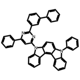 c1ccc(-c2cccc(-c3nc(-c4ccccc4)cc(-n4c5ccccc5c5c6c7ccccc7n(-c7ccccc7)c6ccc54)n3)c2)cc1